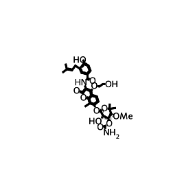 CO[C@@H]1[C@@H](OC(N)=O)[C@@H](O)[C@H](Oc2ccc3c(OCCO)c(NC(=O)c4ccc(O)c(CC=C(C)C)c4)c(=O)oc3c2C)OC1(C)C